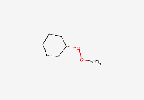 ClC(Cl)(Cl)OOC1CCCCC1